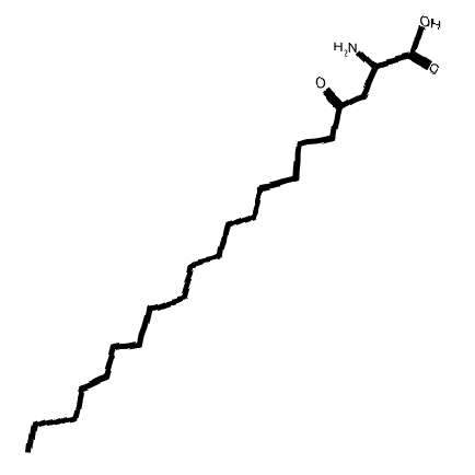 CCCCCCCCCCCCCCCCCC(=O)CC(N)C(=O)O